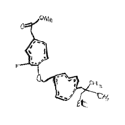 CCC(C)(C)c1ccc(Oc2ccc(C(=O)OC)cc2F)cc1